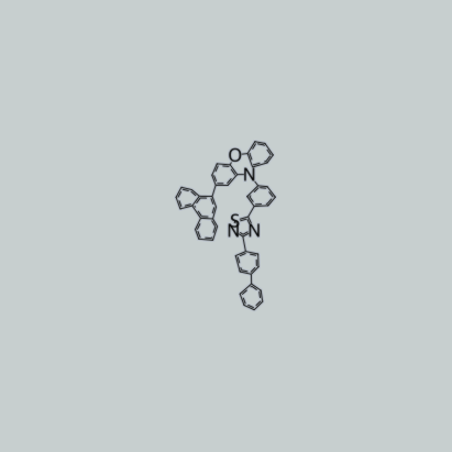 c1ccc(-c2ccc(-c3nsc(-c4cccc(N5c6ccccc6Oc6ccc(-c7cc8ccccc8c8ccccc78)cc65)c4)n3)cc2)cc1